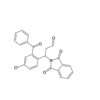 O=CCC(c1ccc(Cl)cc1C(=O)c1ccccc1)N1C(=O)c2ccccc2C1=O